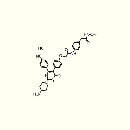 Cl.Cn1c(N2CCC(N)CC2)nc(-c2ccc(C#N)cc2)c(-c2ccc(OCC(=O)Nc3ccc(CC(=O)NO)cc3)cc2)c1=O